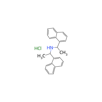 CC(NC(C)c1cccc2ccccc12)c1cccc2ccccc12.Cl